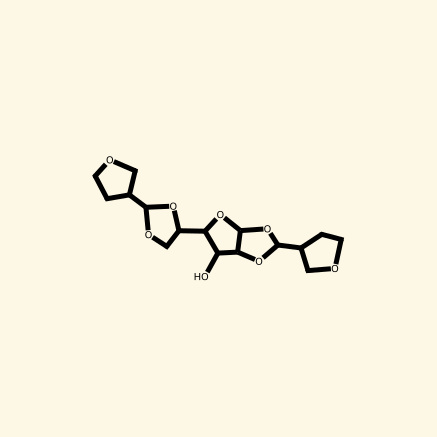 OC1C(C2COC(C3CCOC3)O2)OC2OC(C3CCOC3)OC21